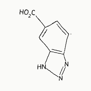 O=C(O)c1c[c]c2nn[nH]c2c1